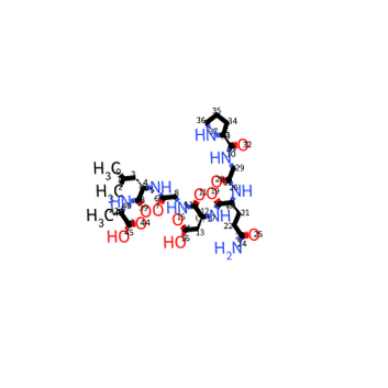 CC(C)C[C@H](NC(=O)CNC(=O)[C@H](CC(=O)O)NC(=O)[C@H](CCC(N)=O)NC(=O)CNC(=O)[C@@H]1CCCN1)C(=O)N[C@@H](C)C(=O)O